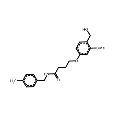 COc1cc(OCCCC(=O)NCc2ccc(C)cc2)ccc1CO